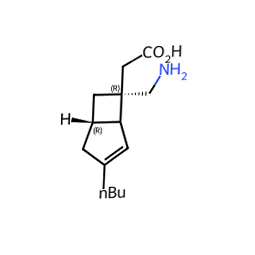 CCCCC1=CC2[C@H](C1)C[C@@]2(CN)CC(=O)O